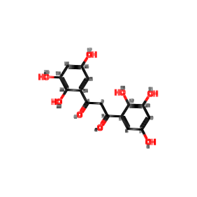 O=C(CC(=O)c1cc(O)cc(O)c1O)c1cc(O)cc(O)c1O